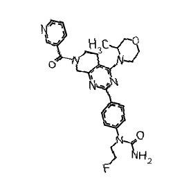 CC1COCCN1c1nc(-c2ccc(N(CCF)C(N)=O)cc2)nc2c1CCN(C(=O)c1cccnc1)C2